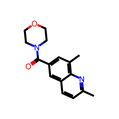 Cc1ccc2cc(C(=O)N3CCOCC3)cc(C)c2n1